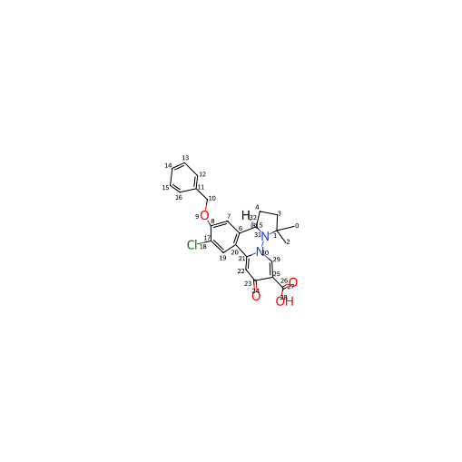 CC1(C)CC[C@@H]2c3cc(OCc4ccccc4)c(Cl)cc3-c3cc(=O)c(C(=O)O)cn3N21